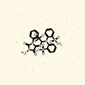 CN1C(=O)C(=NC(N(c2ccccc2S(C)(=O)=O)c2ccccc2S(C)(=O)=O)C(Cl)(Cl)Cl)N(c2ccccc2)C1=O